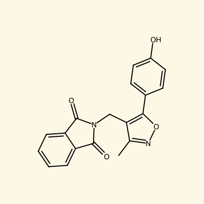 Cc1noc(-c2ccc(O)cc2)c1CN1C(=O)c2ccccc2C1=O